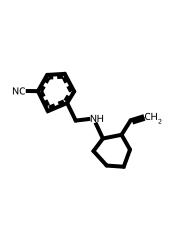 C=CC1CCCCC1NCc1cccc(C#N)c1